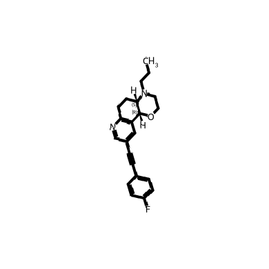 CCCN1CCO[C@@H]2c3cc(C#Cc4ccc(F)cc4)cnc3CC[C@@H]21